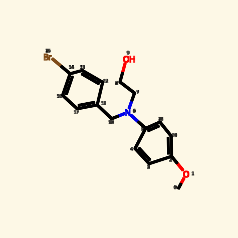 COc1ccc(N(CCO)Cc2ccc(Br)cc2)cc1